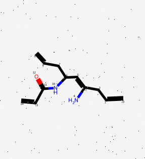 C=CCC(N)=CC(CC=C)NC(=O)C=C